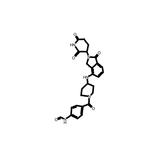 O=CNc1ccc(C(=O)N2CCC(Nc3cccc4c3CN(C3CCC(=O)NC3=O)C4=O)CC2)cc1